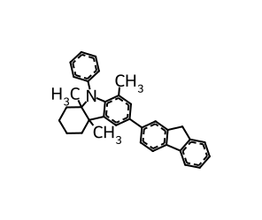 Cc1cc(-c2ccc3c(c2)Cc2ccccc2-3)cc2c1N(c1ccccc1)C1(C)CCCCC21C